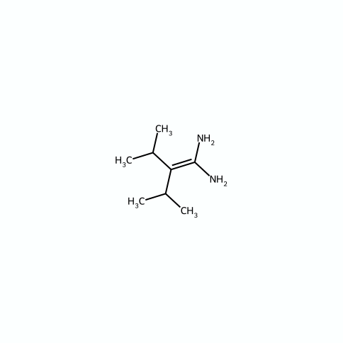 CC(C)C(=C(N)N)C(C)C